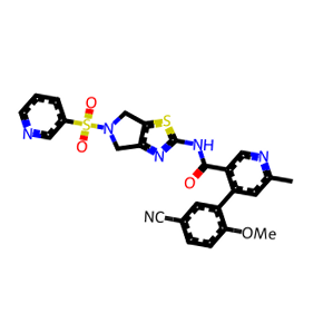 COc1ccc(C#N)cc1-c1cc(C)ncc1C(=O)Nc1nc2c(s1)CN(S(=O)(=O)c1cccnc1)C2